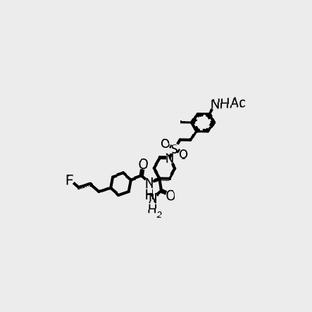 CC(=O)Nc1ccc(CCS(=O)(=O)N2CCC(NC(=O)C3CCC(CCCF)CC3)(C(N)=O)CC2)c(C)c1